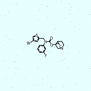 O=C(OC1CN2CCC1CC2)N(Cc1cc(Br)cs1)c1cccc(F)c1